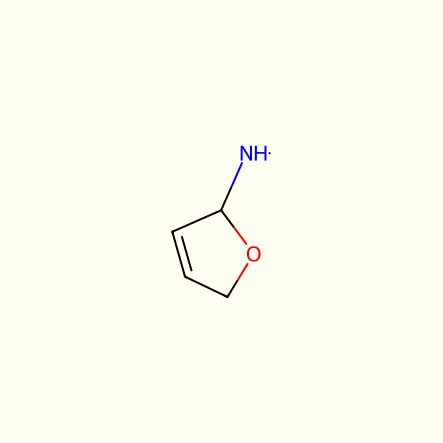 [NH]C1C=CCO1